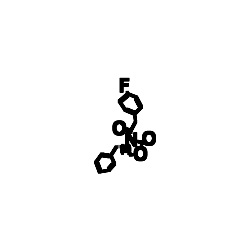 O=C(Cc1ccc(F)cc1)N1C(=O)OC[C@@H]1Cc1ccccc1